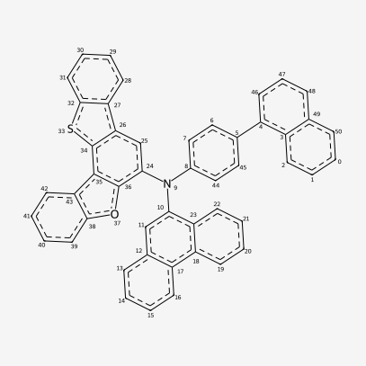 c1ccc2c(-c3ccc(N(c4cc5ccccc5c5ccccc45)c4cc5c6ccccc6sc5c5c4oc4ccccc45)cc3)cccc2c1